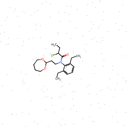 CCc1cccc(CC)c1N(CCC1OCCCCO1)C(=O)C(Cl)CC